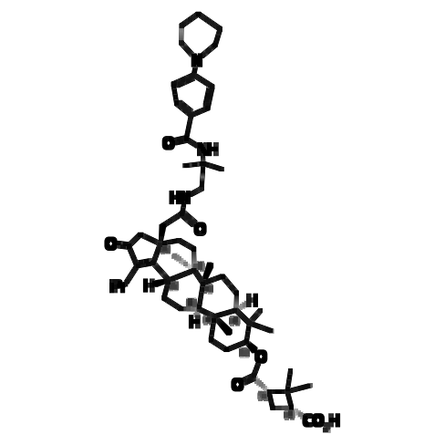 CC(C)C1=C2[C@H]3CC[C@@H]4[C@@]5(C)CC[C@H](OC(=O)[C@H]6C[C@@H](C(=O)O)C6(C)C)C(C)(C)[C@@H]5CC[C@@]4(C)[C@]3(C)CC[C@@]2(CC(=O)NCC(C)(C)NC(=O)c2ccc(N3CCCCC3)cc2)CC1=O